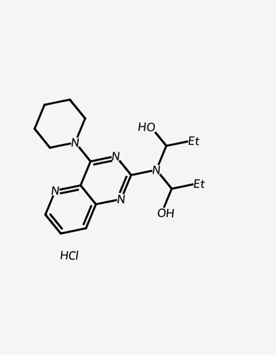 CCC(O)N(c1nc(N2CCCCC2)c2ncccc2n1)C(O)CC.Cl